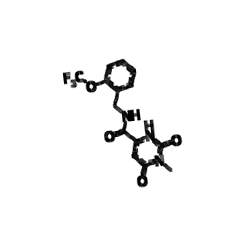 Cn1c(=O)cc(C(=O)NCc2ccccc2OC(F)(F)F)[nH]c1=O